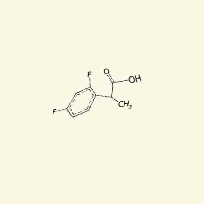 CC(C(=O)O)c1ccc(F)cc1F